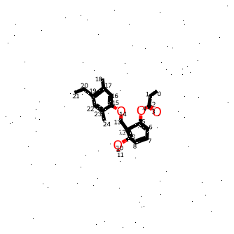 CCC(=O)Oc1cccc(OC)c1COc1cc(C)c(CC)cc1C